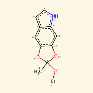 CCOC1(C)Oc2cc3cc[nH]c3cc2O1